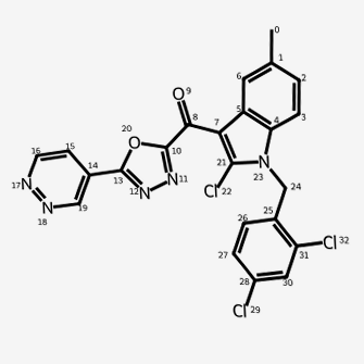 Cc1ccc2c(c1)c(C(=O)c1nnc(-c3ccnnc3)o1)c(Cl)n2Cc1ccc(Cl)cc1Cl